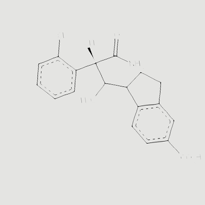 CC(C1CCc2cc(C(=O)O)ccc21)[C@@](C)(C(N)=O)c1ccccc1Cl